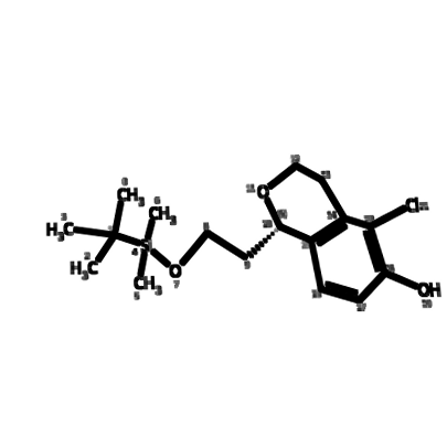 CC(C)(C)[Si](C)(C)OCC[C@@H]1OCCc2c1ccc(O)c2Cl